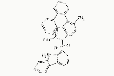 CCCCC1=Cc2c(ccc(C)c2-c2ccccc2-c2ccccc2)[CH]1[Zr]([Cl])([Cl])[c]1cccc2c1[SiH2]c1ccccc1-2